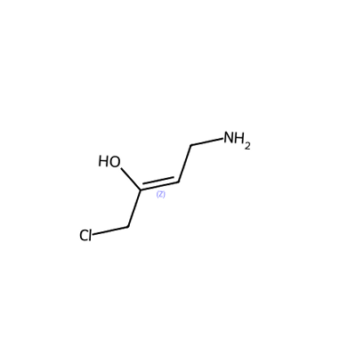 NC/C=C(\O)CCl